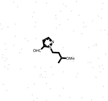 COC(C)CCn1nccc1C=O